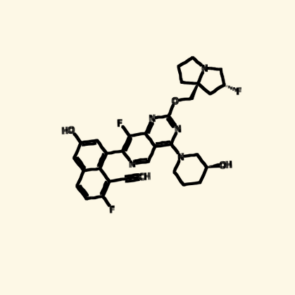 C#Cc1c(F)ccc2cc(O)cc(-c3ncc4c(N5CCC[C@H](O)C5)nc(OC[C@@]56CCCN5C[C@H](F)C6)nc4c3F)c12